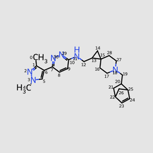 Cc1nn(C)cc1-c1ccc(NCC2CC23CCN(CC2CC4C=CC2C4)CC3)nn1